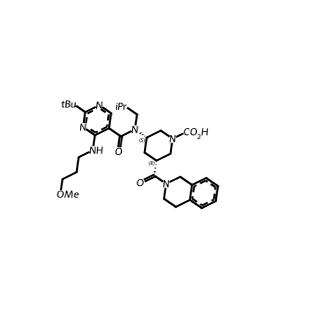 COCCCNc1nc(C(C)(C)C)ncc1C(=O)N(CC(C)C)[C@H]1C[C@@H](C(=O)N2CCc3ccccc3C2)CN(C(=O)O)C1